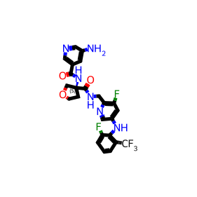 Nc1cncc(C(=O)N[C@@]2(C(=O)NCc3ncc(Nc4c(F)cccc4C(F)(F)F)cc3F)CCOC2)c1